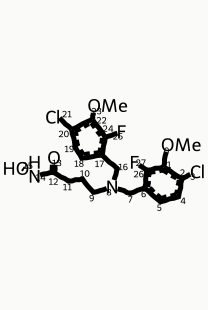 COc1c(Cl)ccc(CN(CCCC(=O)NO)Cc2ccc(Cl)c(OC)c2F)c1F